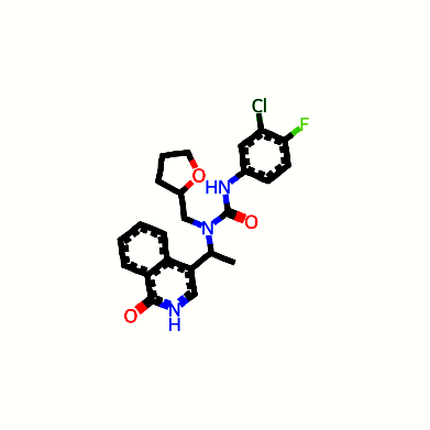 CC(c1c[nH]c(=O)c2ccccc12)N(CC1CCCO1)C(=O)Nc1ccc(F)c(Cl)c1